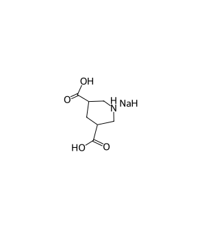 O=C(O)C1CNCC(C(=O)O)C1.[NaH]